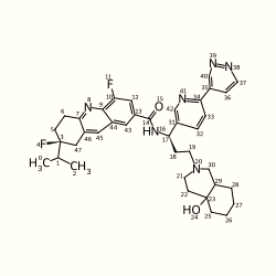 CC(C)[C@]1(F)CCc2nc3c(F)cc(C(=O)N[C@H](CCN4CCC5(O)CCCCC5C4)c4ccc(-c5ccnnc5)nc4)cc3cc2C1